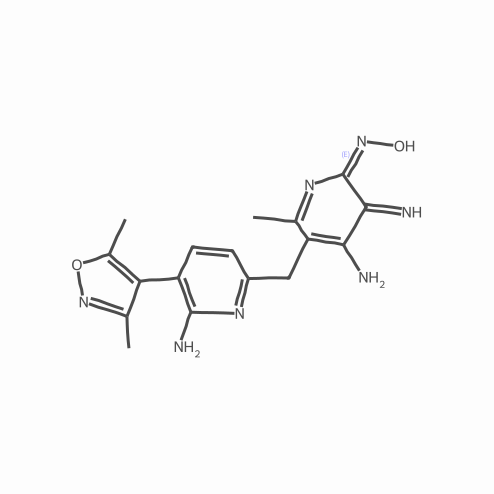 CC1=N/C(=N/O)C(=N)C(N)=C1Cc1ccc(-c2c(C)noc2C)c(N)n1